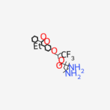 CCc1ccccc1-c1cc2ccc(OCC(COC(=O)C(C)(CC(C)(C)N)C(C)(C)N)CC(F)(F)F)cc2oc1=O